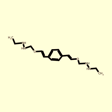 CCNNCOC=Cc1ccc(C=COCNNCC)cc1